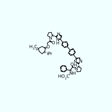 CC(C)[C@@H]1CC[C@@H](C)C[C@H]1OCC(=O)N1CCC[C@H]1c1ncc(-c2ccc(-c3ccc(-c4cnc([C@@H]5CCCN5C(=O)[C@H](NC(=O)O)c5ccccc5)[nH]4)cc3)cc2)[nH]1